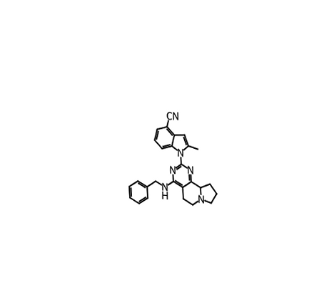 Cc1cc2c(C#N)cccc2n1-c1nc(NCc2ccccc2)c2c(n1)C1CCCN1CC2